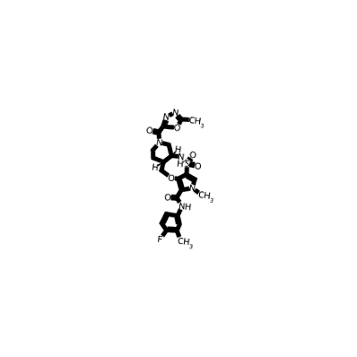 Cc1nnc(C(=O)N2CC[C@@H]3COc4c(cn(C)c4C(=O)Nc4ccc(F)c(C)c4)S(=O)(=O)N[C@@H]3C2)o1